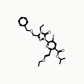 CCOC=Cc1nc(-n2nc(COCc3ccccc3)n(CC)c2=O)c(F)cc1C(=O)OC(C)C